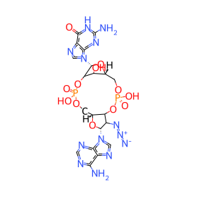 [N-]=[N+]=NC1C2OP(=O)(O)OC[C@H]3O[C@@H](n4cnc5c(=O)[nH]c(N)nc54)C(OP(=O)(O)OC[C@H]2O[C@H]1n1cnc2c(N)ncnc21)C3O